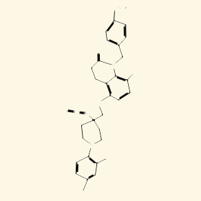 COc1ccc(CN2C(=O)CCc3c(OCC4(N=C=O)CCN(c5ccc(Cl)cc5F)CC4)ccc(Cl)c32)cc1